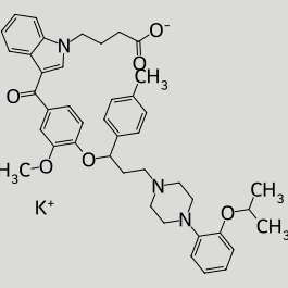 COc1cc(C(=O)c2cn(CCCC(=O)[O-])c3ccccc23)ccc1OC(CCN1CCN(c2ccccc2OC(C)C)CC1)c1ccc(C)cc1.[K+]